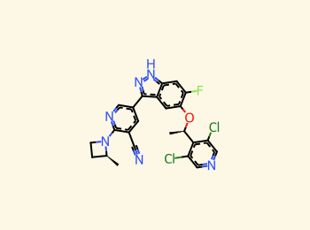 C[C@@H](Oc1cc2c(-c3cnc(N4CC[C@@H]4C)c(C#N)c3)n[nH]c2cc1F)c1c(Cl)cncc1Cl